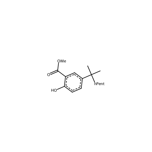 CCCCCC(C)(C)c1ccc(O)c(C(=O)OC)c1